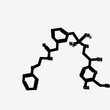 CC(C)(Cc1cccc(CC(=O)NCCOc2ccccc2)c1)NCC(O)c1ccc(O)c(CO)n1